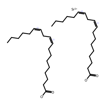 CCCCC/C=C\C/C=C\CCCCCCCC(=O)[O-].CCCCC/C=C\C/C=C\CCCCCCCC(=O)[O-].[Sr+2]